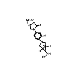 CC(=O)NC[C@H]1CN(c2ccc(N3C[C@@H]4C(NC(C)C)[C@@H]4C3)c(F)c2)C(=O)O1